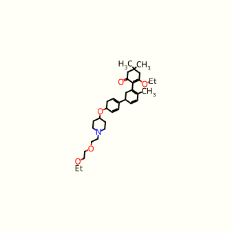 CCOCCOCCN1CCC(OC2C=CC(C3C=CC(C)=C(C4=C(OCC)CC(C)(C)CC4=O)C3)=CC2)CC1